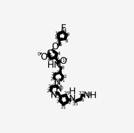 COc1cc(OCc2ccc(F)cc2)cc(C(=O)NCC2CCN(c3ccnc(-c4cccc(N/C=C\C=N)c4)n3)CC2)c1